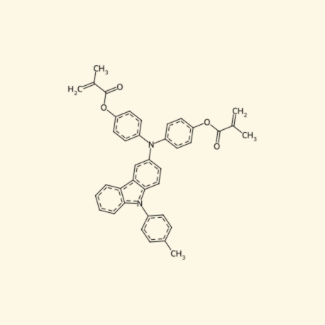 C=C(C)C(=O)Oc1ccc(N(c2ccc(OC(=O)C(=C)C)cc2)c2ccc3c(c2)c2ccccc2n3-c2ccc(C)cc2)cc1